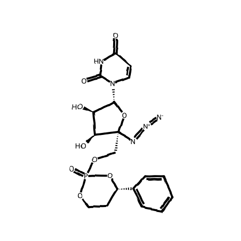 [N-]=[N+]=N[C@]1(COP2(=O)OCC[C@@H](c3ccccc3)O2)O[C@@H](n2ccc(=O)[nH]c2=O)[C@H](O)[C@@H]1O